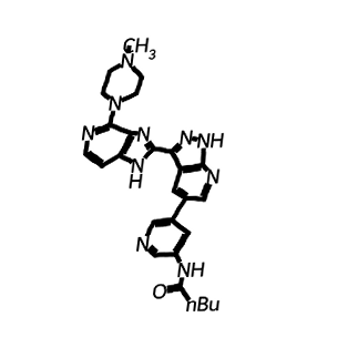 CCCCC(=O)Nc1cncc(-c2cnc3[nH]nc(-c4nc5c(N6CCN(C)CC6)nccc5[nH]4)c3c2)c1